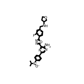 CC(C)[S+]([O-])c1ccc(-c2cnc(N)c(-c3nnc(-c4ccc(CNC5CCOC5)cc4F)o3)n2)cc1